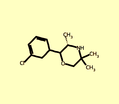 C[C@@H]1NC(C)(C)COC1C1C=CC=C(Cl)C1